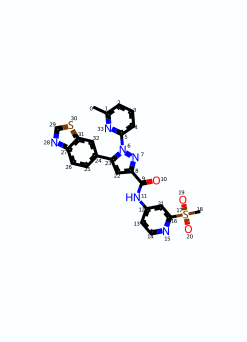 Cc1cccc(-n2nc(C(=O)Nc3ccnc(S(C)(=O)=O)c3)cc2-c2ccc3ncsc3c2)n1